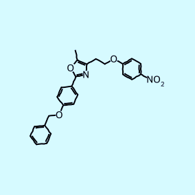 Cc1oc(-c2ccc(OCc3ccccc3)cc2)nc1CCOc1ccc([N+](=O)[O-])cc1